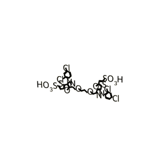 O=S(=O)(O)c1cc2oc3c(COCCCOCc4nn(-c5ccc(Cl)cc5Cl)c5c4oc4cc(S(=O)(=O)O)sc45)nn(-c4ccc(Cl)cc4Cl)c3c2s1